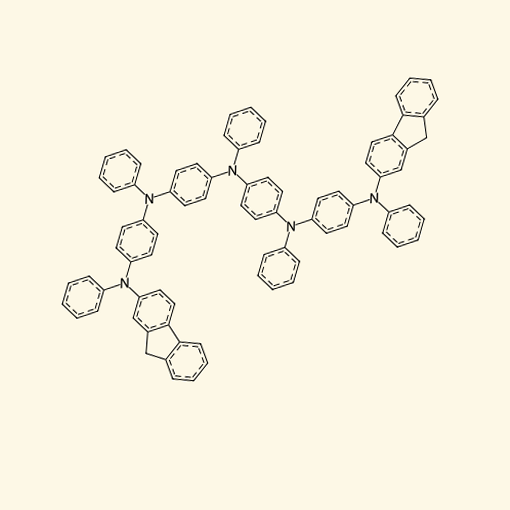 c1ccc(N(c2ccc(N(c3ccccc3)c3ccc(N(c4ccccc4)c4ccc5c(c4)Cc4ccccc4-5)cc3)cc2)c2ccc(N(c3ccccc3)c3ccc(N(c4ccccc4)c4ccc5c(c4)Cc4ccccc4-5)cc3)cc2)cc1